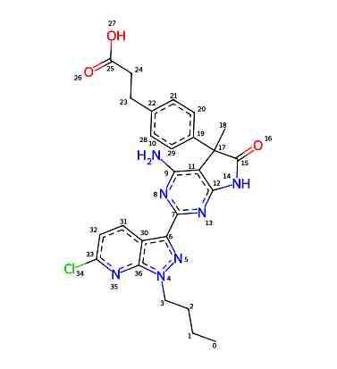 CCCCn1nc(-c2nc(N)c3c(n2)NC(=O)C3(C)c2ccc(CCC(=O)O)cc2)c2ccc(Cl)nc21